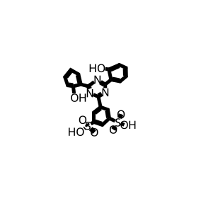 O=S(=O)(O)c1cc(-c2nc(-c3ccccc3O)nc(-c3ccccc3O)n2)cc(S(=O)(=O)O)c1